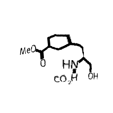 COC(=O)C1CCCC(C[C@@H](CO)NC(=O)O)C1